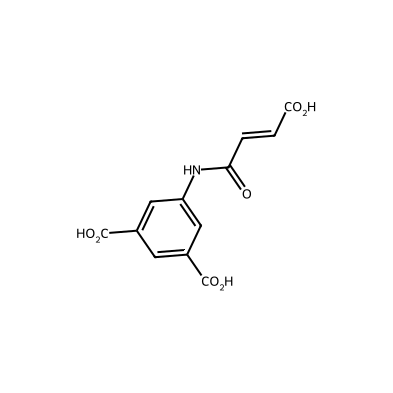 O=C(O)/C=C/C(=O)Nc1cc(C(=O)O)cc(C(=O)O)c1